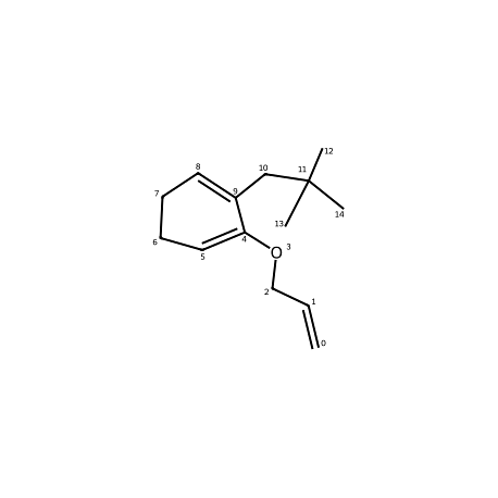 C=CCOC1=CCCC=C1CC(C)(C)C